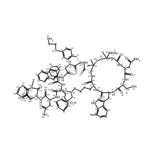 CC(=O)N[C@@H]1C(=O)N[C@@H](CC(N)=O)C(=O)N[C@@H]([C@@H](C)O)C(=O)N[C@@H](Cc2c[nH]c3c(C)cccc23)C(=O)N[C@@H](CCCCN(Cc2ccccc2)C(C)=O)C(=O)N[C@H](C(=O)N[C@@H](Cc2ccc(OCCN)cc2)C(=O)N[C@@H](Cc2ccc3ccccc3c2)C(=O)NC2(C(=O)N[C@@H](CCC(=O)O)C(=O)N[C@@H](CC(N)=O)C(=O)N[C@@H](Cc3cccnc3)C(=O)N(C)CC(N)=O)CCOCC2)C(C)(C)SSC1(C)C